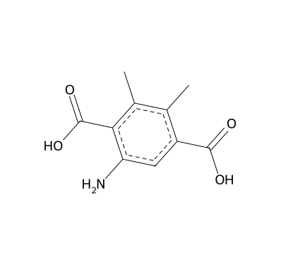 Cc1c(C(=O)O)cc(N)c(C(=O)O)c1C